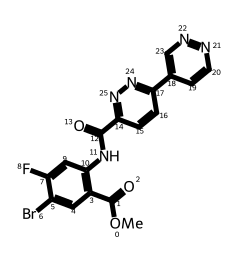 COC(=O)c1cc(Br)c(F)cc1NC(=O)c1ccc(-c2ccnnc2)nn1